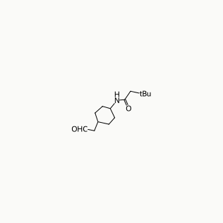 CC(C)(C)CC(=O)NC1CCC(CC=O)CC1